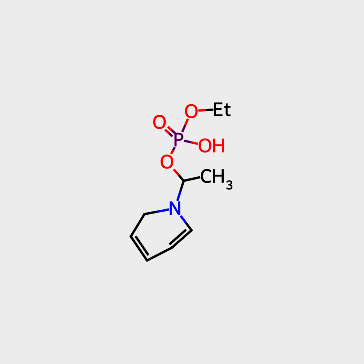 CCOP(=O)(O)OC(C)N1C=CC=CC1